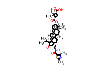 Cc1nc(C)c(C(=O)NCC[C@@]23CC[C@]4(C)[C@H](CC[C@@H]5[C@@]6(C)CC[C@H](OC(=O)[C@H]7C[C@@H](C(=O)O)C7(C)C)C(C)(C)[C@@H]6CC[C@]54C)C2=C(C(C)C)C(=O)C3)s1